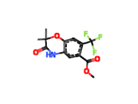 COC(=O)c1cc2c(cc1C(F)(F)F)OC(C)(C)C(=O)N2